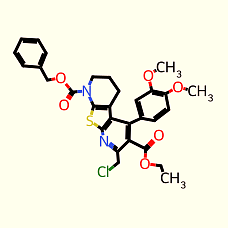 CCOC(=O)c1c(CCl)nc2sc3c(c2c1-c1ccc(OC)c(OC)c1)CCCN3C(=O)OCc1ccccc1